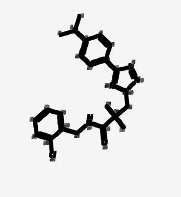 CN(C)c1ccc(-c2nnn(CC(C)(C)C(=O)NCc3ccccc3Cl)n2)cc1